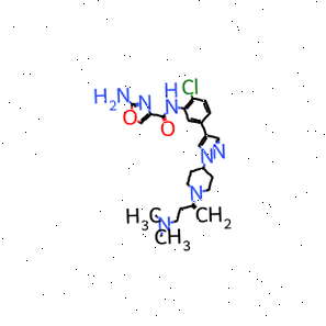 C=C(CCN(C)C)N1CCC(n2cc(-c3ccc(Cl)c(NC(=O)c4coc(N)n4)c3)cn2)CC1